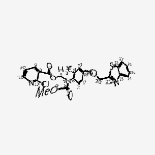 COC(=O)N(COC(=O)c1cccnc1Cl)c1ccc(OCc2nc3ccccc3s2)cc1C